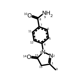 CC1=NN(c2ccc(C(N)=O)cc2)C(=O)C1